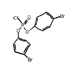 O=P(Cl)(Oc1ccc(Br)cc1)Oc1ccc(Br)cc1